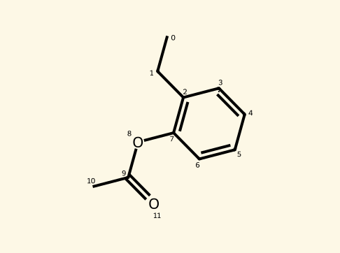 CCc1[c]cccc1OC(C)=O